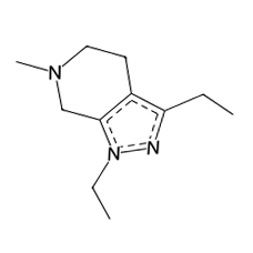 CCc1nn(CC)c2c1CCN(C)C2